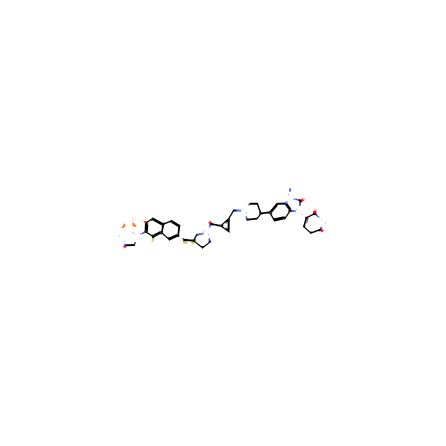 Cn1c(=O)n([C@@H]2CCC(=O)NC2=O)c2ccc(C3CCN(CC4CC4C(=O)N4CCC5(C4)S[C@H]5c4ccc5cc(O)c(N6CC(=O)NS6(=O)=O)c(F)c5c4)CC3)cc21